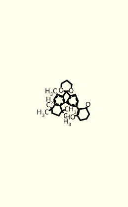 Cc1cc2c(cc1C1(c3ccc(C4=C(O)CCCC4=O)cc3)OCCCO1)C(C)(C)CCC2(C)C